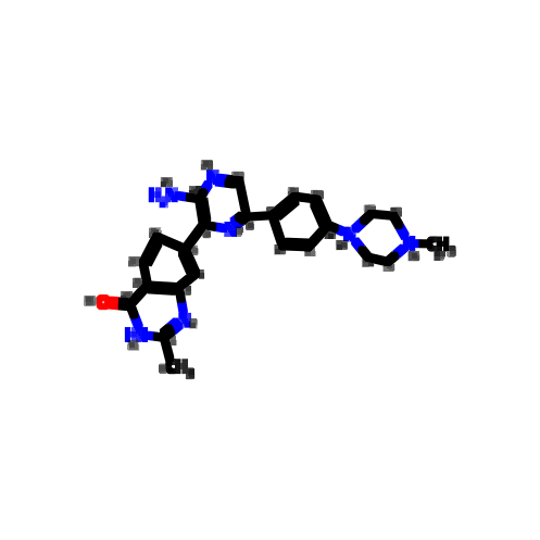 Cc1nc2cc(-c3nc(-c4ccc(N5CCN(C)CC5)cc4)cnc3N)ccc2c(=O)[nH]1